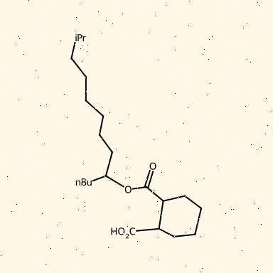 CCCCC(CCCCCCC(C)C)OC(=O)C1CCCCC1C(=O)O